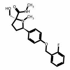 CNC(=O)[C@]1(CO)CC[C@H](c2ccc(OCc3ccccc3F)cc2)N1C